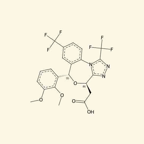 COc1cccc([C@H]2O[C@H](CC(=O)O)c3nnc(C(F)(F)F)n3-c3ccc(C(F)(F)F)cc32)c1OC